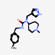 CC(C)COc1ccc(CNC(=O)N(Cc2cn[nH]c2)C2CCN(C)CC2)cc1